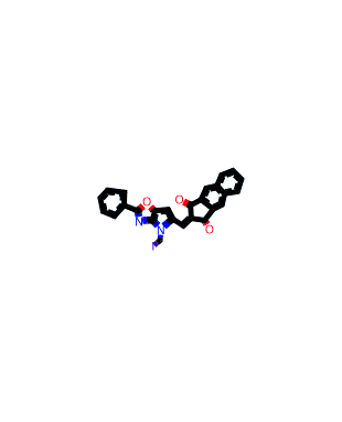 O=C1C(=Cc2cc3oc(-c4ccccc4)nc3n2CI)C(=O)c2cc3ccccc3cc21